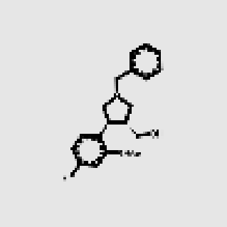 COc1cc(Cl)ccc1[C@H]1CN(Cc2ccccc2)C[C@@H]1CO